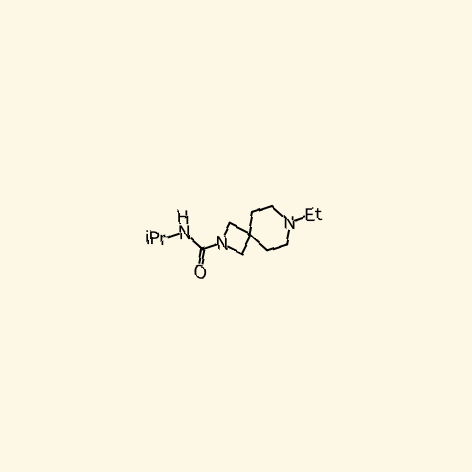 CCN1CCC2(CC1)CN(C(=O)NC(C)C)C2